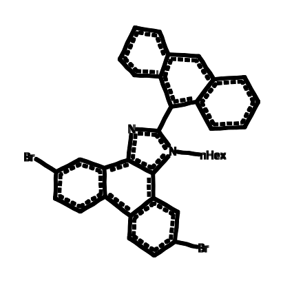 CCCCCCn1c(-c2c3ccccc3cc3ccccc23)nc2c3cc(Br)ccc3c3ccc(Br)cc3c21